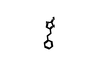 S=C1N=CC(CCc2ccccc2)=N1